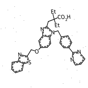 CCC(CC)(Cc1nc2cc(OCc3nc4ccccc4s3)ccc2n1Cc1ccc(-c2ncccn2)cc1)C(=O)O